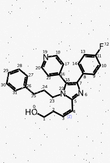 OCC/C=C\c1nc(-c2ccc(F)cc2)c(-c2ccncc2)n1CCCc1ccccc1